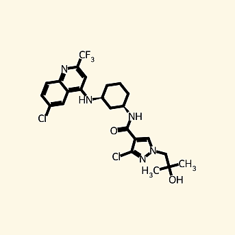 CC(C)(O)Cn1cc(C(=O)N[C@@H]2CCC[C@H](Nc3cc(C(F)(F)F)nc4ccc(Cl)cc34)C2)c(Cl)n1